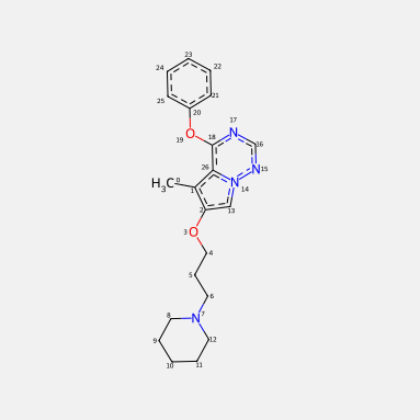 Cc1c(OCCCN2CCCCC2)cn2ncnc(Oc3ccccc3)c12